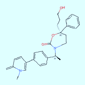 C=C1C=CC(c2ccc([C@H](C)N3CC[C@](CCCO)(c4ccccc4)OC3=O)cc2)=CN1C